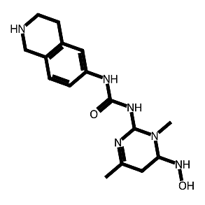 CC1=NC(NC(=O)Nc2ccc3c(c2)CCNC3)N(C)C(NO)C1